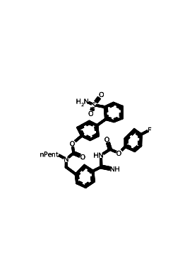 CCCCCN(Cc1cccc(C(=N)NC(=O)Oc2ccc(F)cc2)c1)C(=O)Oc1ccc(-c2ccccc2S(N)(=O)=O)cc1